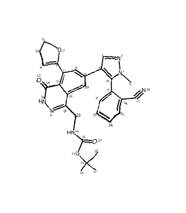 Cn1ncc(-c2cc(C3=CCCO3)c3c(=O)[nH]nc(CNC(=O)OC(C)(C)C)c3c2)c1-c1ccccc1C#N